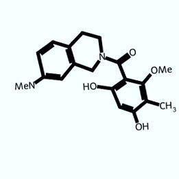 CNc1ccc2c(c1)CN(C(=O)c1c(O)cc(O)c(C)c1OC)CC2